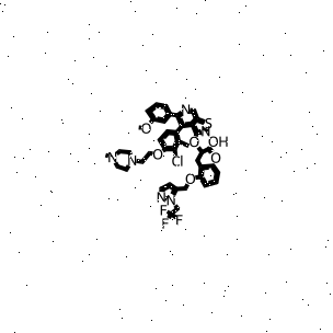 COc1cccc(-c2ncc3snc(OC(Cc4ccccc4OCc4ccnn4CC(F)(F)F)C(=O)O)c3c2-c2ccc(OCCN3CCN(C)CC3)c(Cl)c2C)c1